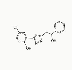 Oc1ccc(Cl)cc1-n1cc(CC(O)c2ccccc2)nn1